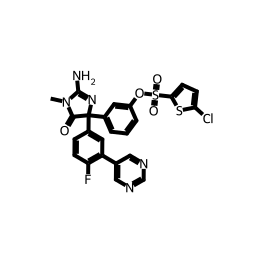 CN1C(=O)C(c2cccc(OS(=O)(=O)c3ccc(Cl)s3)c2)(c2ccc(F)c(-c3cncnc3)c2)N=C1N